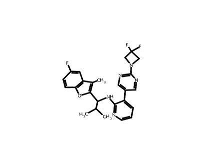 Cc1c(C(Nc2ncccc2-c2cnc(N3CC(F)(F)C3)nc2)C(C)C)oc2ccc(F)cc12